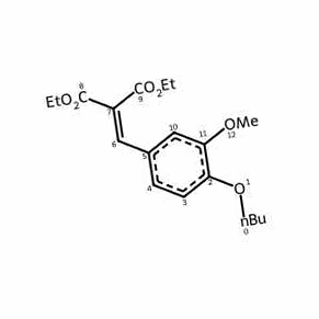 CCCCOc1ccc(C=C(C(=O)OCC)C(=O)OCC)cc1OC